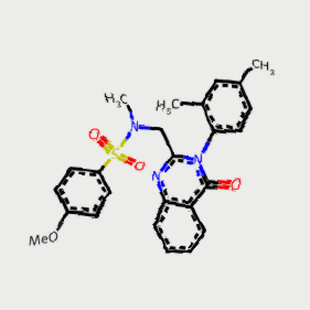 COc1ccc(S(=O)(=O)N(C)Cc2nc3ccccc3c(=O)n2-c2ccc(C)cc2C)cc1